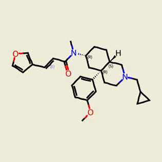 COc1cccc([C@@]23CCN(CC4CC4)C[C@H]2CC[C@@H](N(C)C(=O)/C=C/c2ccoc2)C3)c1